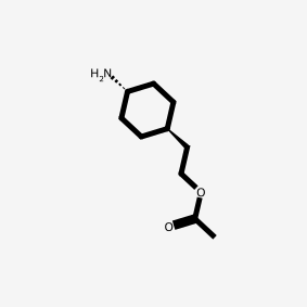 CC(=O)OCC[C@H]1CC[C@H](N)CC1